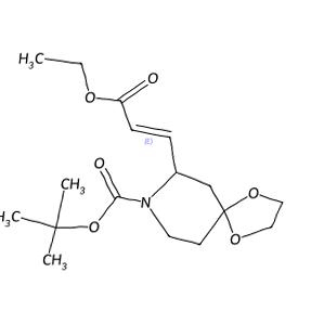 CCOC(=O)/C=C/C1CC2(CCN1C(=O)OC(C)(C)C)OCCO2